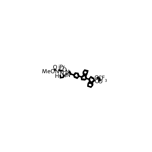 COC(=O)N[C@H](C(=O)N1CCC[C@H]1c1ncc(-c2ccc(-c3ccc(-c4ccc(OS(=O)(=O)C(F)(F)F)c5c4C4CCC5C4)c4c3C3C=CC4C3)cc2)[nH]1)C(C)C